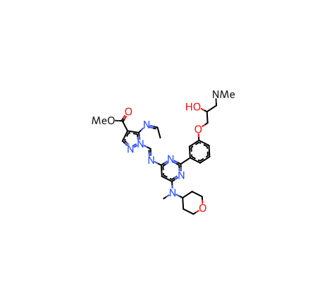 C/C=N\c1c(C(=O)OC)cnn1/C=N/c1cc(N(C)C2CCOCC2)nc(-c2cccc(OCC(O)CNC)c2)n1